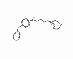 c1ccc(Cc2ccc(OCCCCN3CCCC3)cc2)cc1